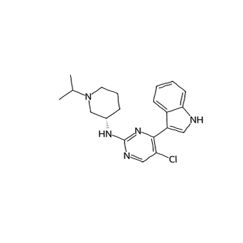 CC(C)N1CCC[C@H](Nc2ncc(Cl)c(-c3c[nH]c4ccccc34)n2)C1